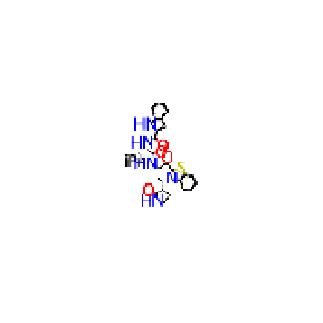 CC(C)C[C@H](NC(=O)c1cc2ccccc2[nH]1)C(=O)N[C@@H](CC[C@@H]1CCNC1=O)C(=O)c1nc2ccccc2s1